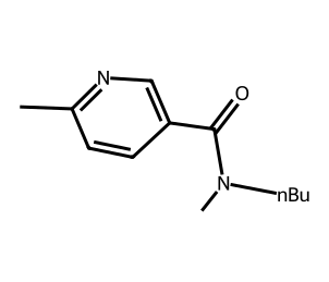 CCCCN(C)C(=O)c1ccc(C)nc1